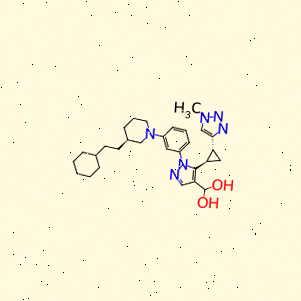 Cn1cc([C@@H]2C[C@H]2c2c(C(O)O)cnn2-c2cccc(N3CCC[C@H](CCC4CCCCC4)C3)c2)nn1